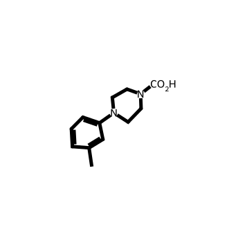 Cc1cccc(N2CCN(C(=O)O)CC2)c1